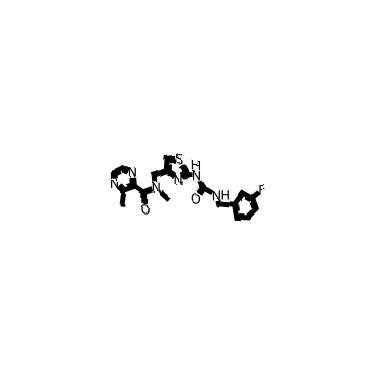 Cc1nccnc1C(=O)N(C)Cc1csc(NC(=O)NCc2cccc(F)c2)n1